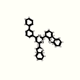 c1ccc(-c2cccc(-c3cc(-c4cc5ccccc5s4)nc(-c4cccc5c4oc4ccccc45)n3)c2)cc1